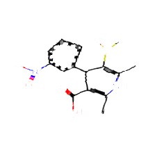 CC1=C(C(=O)O)C(c2cccc([N+](=O)[O-])c2)C([S+](C)[O-])=C(C)N1